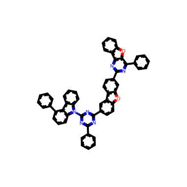 c1ccc(-c2nc(-c3ccc4oc5cc(-c6nc(-c7ccccc7)c7oc8ccccc8c7n6)ccc5c4c3)nc(-n3c4ccccc4c4c(-c5ccccc5)cccc43)n2)cc1